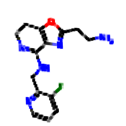 NCCc1nc2c(o1)CCN=C2NCc1ncccc1F